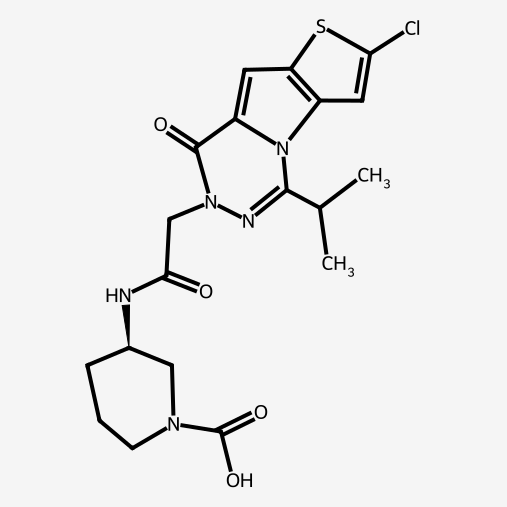 CC(C)c1nn(CC(=O)N[C@@H]2CCCN(C(=O)O)C2)c(=O)c2cc3sc(Cl)cc3n12